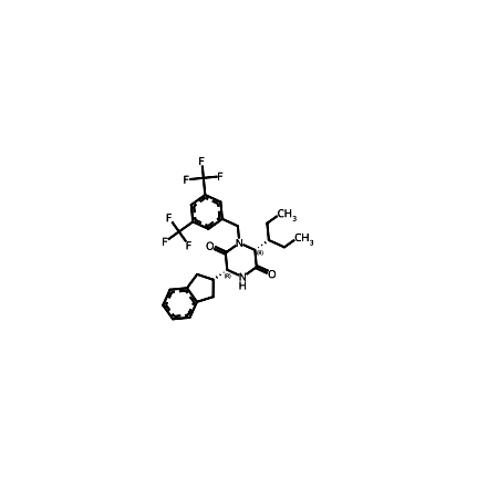 CCC(CC)[C@@H]1C(=O)N[C@H](C2Cc3ccccc3C2)C(=O)N1Cc1cc(C(F)(F)F)cc(C(F)(F)F)c1